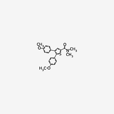 COc1ccc(-c2cc(C(=O)N(C)C)sc2-c2ccc(OC)cc2)cc1